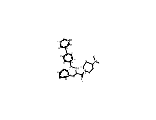 CN(C)C1CCN(C(=O)C(Cc2ccccc2)NCc2ccc(-c3cncnc3)cc2)CC1